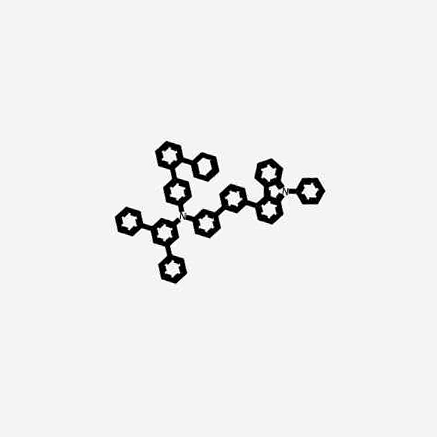 C1=CC=C(c2ccccc2-c2ccc(N(c3cccc(-c4cccc(-c5cccc6c5c5ccccc5n6-c5ccccc5)c4)c3)c3cc(-c4ccccc4)cc(-c4ccccc4)c3)cc2)CC=1